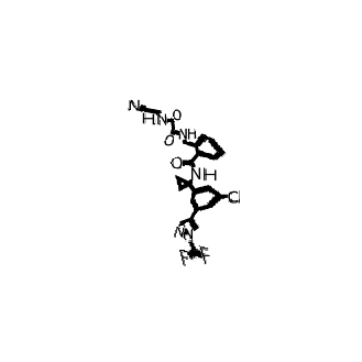 N#CCNC(=O)C(=O)NCc1ccccc1C(=O)NC1(c2cc(Cl)cc(-c3cnn(C(F)F)c3)c2)CC1